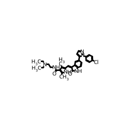 CCN(CC)CCNC(=O)c1c(C)[nH]c(/C=C2\C(=O)Nc3ccc(-c4ccnn4-c4ccc(Cl)cc4)cc32)c1C